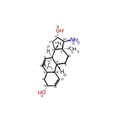 C[C@]12CC[C@H]3[C@@H](C=CC4C[C@@H](O)C=C[C@@]43C)[C@@H]1C[C@H](O)[C@H]2N